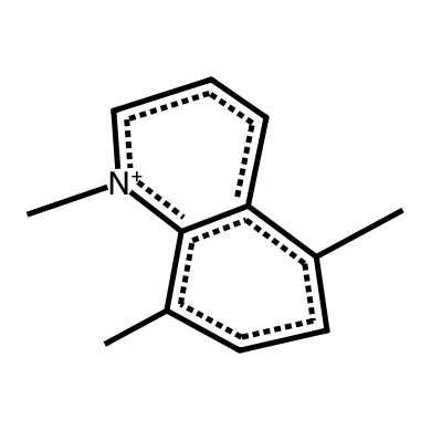 Cc1ccc(C)c2c1ccc[n+]2C